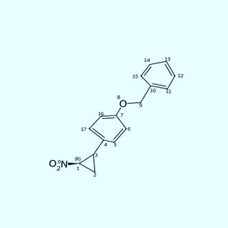 O=[N+]([O-])[C@@H]1CC1c1ccc(OCc2ccccc2)cc1